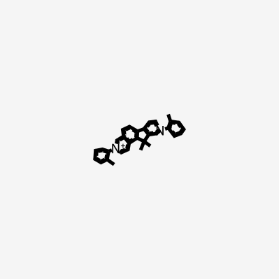 Cc1ccccc1-[n+]1ccc2c(c1)C(C)(C)c1c-2ccc2c[n+](-c3ccccc3C)ccc12